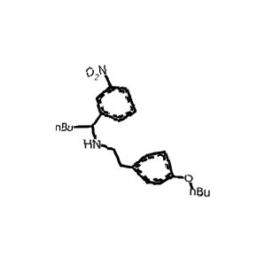 CCCCOc1ccc(CCNC(CCCC)c2cccc([N+](=O)[O-])c2)cc1